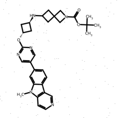 Cn1c2ccncc2c2ccc(-c3cnc(O[C@H]4C[C@H](NC5CC6(C5)CN(C(=O)OC(C)(C)C)C6)C4)nc3)cc21